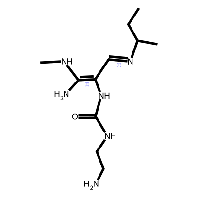 CCC(C)/N=C/C(NC(=O)NCCN)=C(/N)NC